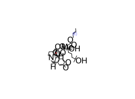 C/C=C/COC(=O)C[C@](O)(CCCC(C)(C)O)C(=O)OC1[C@H]2c3cc4c(cc3[C@@H]3CN5CCCC25C[C@@]1(OC)O3)OCO4